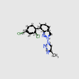 Cc1cn(-n2cc3cccc(-c4ccc(Cl)cc4Cl)c3n2)nn1